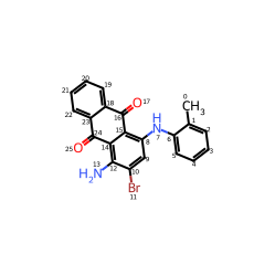 Cc1ccccc1Nc1cc(Br)c(N)c2c1C(=O)c1ccccc1C2=O